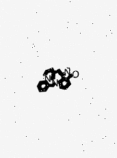 CN1C(=O)c2cccc3c2C1=Cc1cccnc1N3Cc1ccccc1